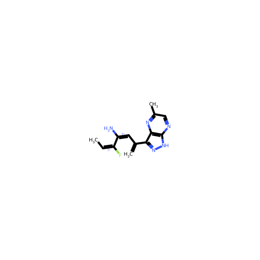 C=C(/C=C(N)\C(F)=C/C)c1n[nH]c2ncc(C)nc12